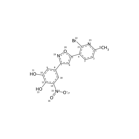 Cc1ccc(-c2cc(-c3cc(O)c(O)c([N+](=O)[O-])c3)no2)c(Br)n1